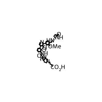 COc1cc(-c2nccc(-c3cccc(NC(=O)c4nc5c(n4C)CCN(CCCC(=O)O)C5)c3Cl)c2Cl)ccc1CNC[C@@H]1CCC(=O)N1